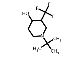 CC(C)(C)N1CCC(O)C(C(F)(F)F)C1